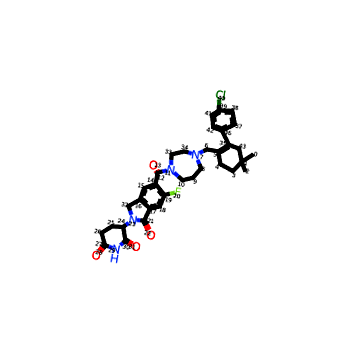 CC1(C)CCC(CN2CCCN(C(=O)c3cc4c(cc3F)C(=O)N(C3CCC(=O)NC3=O)C4)CC2)=C(c2ccc(Cl)cc2)C1